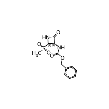 CS(=O)(=O)[C@H]1NC(=O)[C@H]1NC(=O)OCc1ccccc1